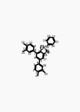 Cc1ccc(-c2cc(-c3ccc(C)c(C)c3)c3o[13c](-c4ccccc4)nc3c2)cc1C